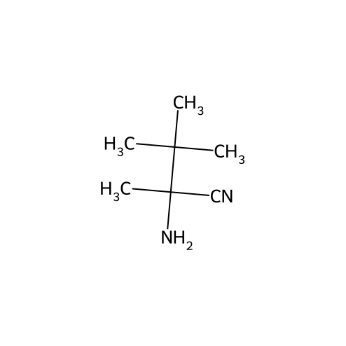 CC(C)(C)C(C)(N)C#N